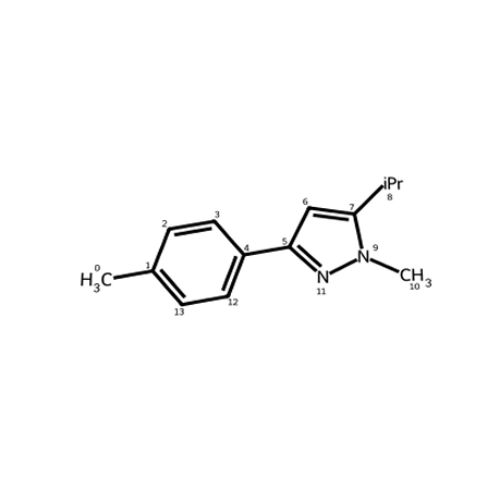 Cc1ccc(-c2cc(C(C)C)n(C)n2)cc1